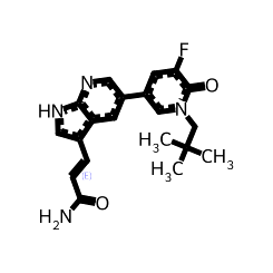 CC(C)(C)Cn1cc(-c2cnc3[nH]cc(/C=C/C(N)=O)c3c2)cc(F)c1=O